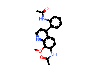 COc1c(NC(C)=O)ccc2c(-c3ccccc3NC(C)=O)ccnc12